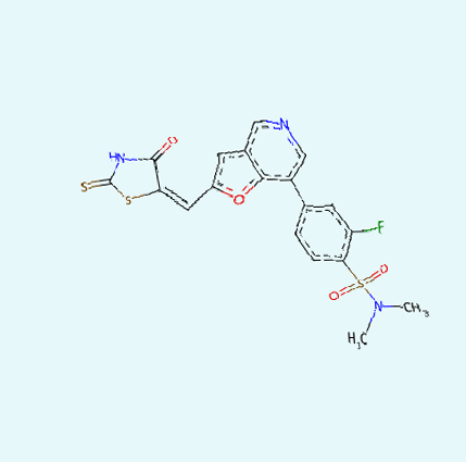 CN(C)S(=O)(=O)c1ccc(-c2cncc3cc(/C=C4/SC(=S)NC4=O)oc23)cc1F